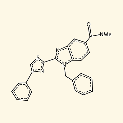 CNC(=O)c1ccc2c(c1)nc(-c1nc(-c3ccccc3)cs1)n2Cc1ccccc1